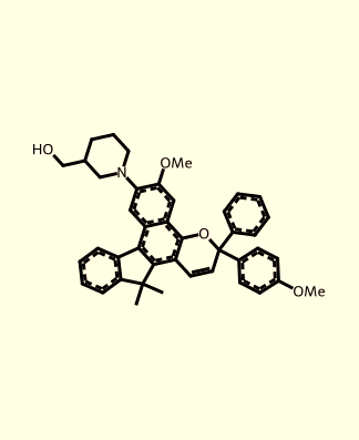 COc1ccc(C2(c3ccccc3)C=Cc3c4c(c5cc(N6CCCC(CO)C6)c(OC)cc5c3O2)-c2ccccc2C4(C)C)cc1